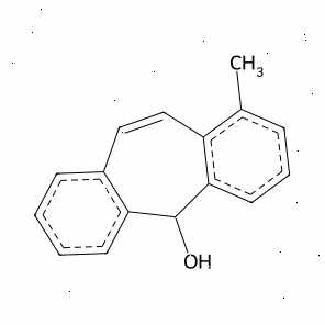 Cc1cccc2c1C=Cc1ccccc1C2O